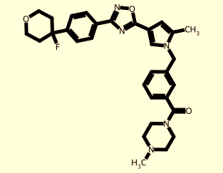 Cc1cc(-c2nc(-c3ccc(C4(F)CCOCC4)cc3)no2)cn1Cc1cccc(C(=O)N2CCN(C)CC2)c1